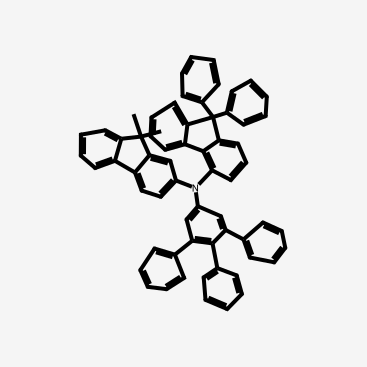 CC1(C)c2ccccc2-c2ccc(N(c3cc(-c4ccccc4)c(-c4ccccc4)c(-c4ccccc4)c3)c3cccc4c3-c3ccccc3C4(c3ccccc3)c3ccccc3)cc21